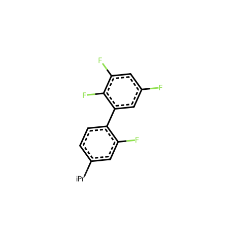 CC(C)c1ccc(-c2cc(F)cc(F)c2F)c(F)c1